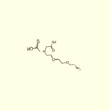 NCCOCCOCCN(CC(=O)O)CC(=O)O